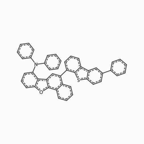 c1ccc(-c2ccc3sc4c(-c5cc6c(oc7cccc(N(c8ccccc8)c8ccccc8)c76)c6ccccc56)cccc4c3c2)cc1